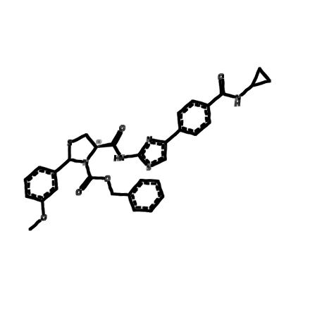 COc1cccc(C2SC[C@@H](C(=O)Nc3nc(-c4ccc(C(=O)NC5CC5)cc4)cs3)N2C(=O)OCc2ccccc2)c1